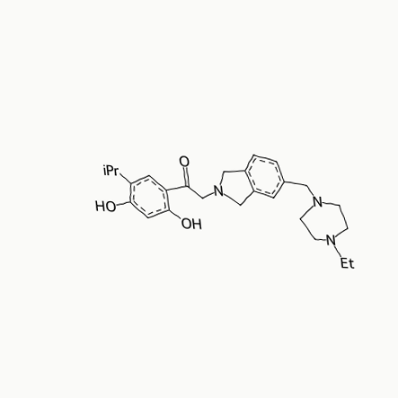 CCN1CCN(Cc2ccc3c(c2)CN(CC(=O)c2cc(C(C)C)c(O)cc2O)C3)CC1